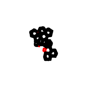 c1ccc2c(c1)-c1cccc(-c3cccc4c3Oc3cccc5cccc-4c35)c1C21c2ccccc2-c2cccc3cccc1c23